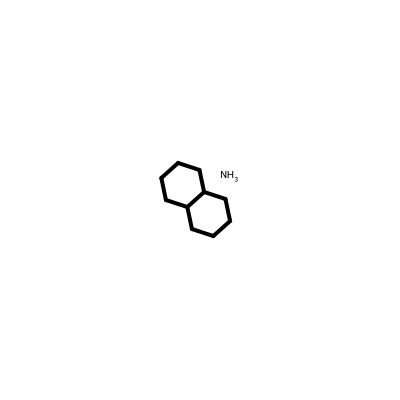 C1CCC2CCCCC2C1.N